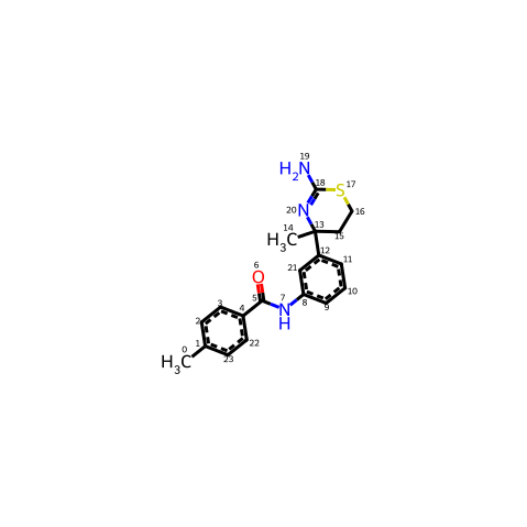 Cc1ccc(C(=O)Nc2cccc(C3(C)CCSC(N)=N3)c2)cc1